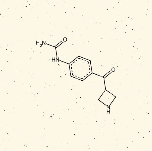 NC(=O)Nc1ccc(C(=O)C2CNC2)cc1